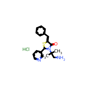 CC(C)(CN)N1C(=O)C(=Cc2ccccc2)SC1c1cccnc1.Cl